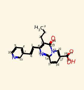 CCCc1c(C=Cc2cccnc2)nc2ccc(C(=O)O)cn2c1=O